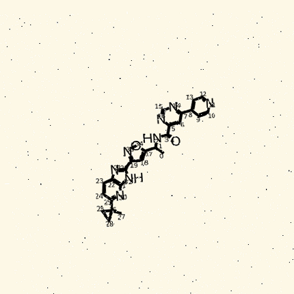 CC(NC(=O)c1cc(-c2ccncc2)ncn1)c1cc(-c2nc3ccc(C4(C)CC4)nc3[nH]2)no1